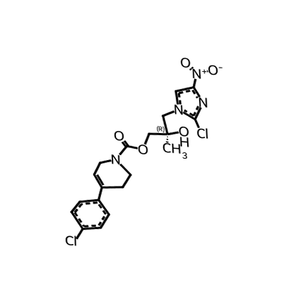 C[C@](O)(COC(=O)N1CC=C(c2ccc(Cl)cc2)CC1)Cn1cc([N+](=O)[O-])nc1Cl